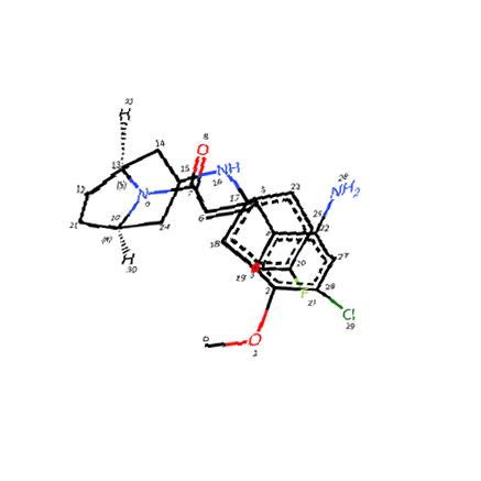 COc1cc(C=CC(=O)N2[C@@H]3CC[C@H]2CC(Nc2ccc(F)cc2)C3)c(N)cc1Cl